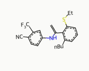 C=C(Nc1ccc(C#N)c(C(F)(F)F)c1)c1c(CCCC)cccc1SCC